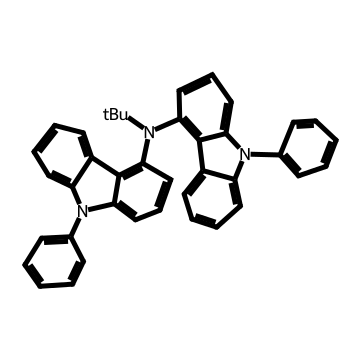 CC(C)(C)N(c1cccc2c1c1ccccc1n2-c1ccccc1)c1cccc2c1c1ccccc1n2-c1ccccc1